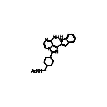 CC(=O)NCC1CCC(c2nc(-c3cc4ccccc4[nH]3)c3c(N)nccn23)CC1